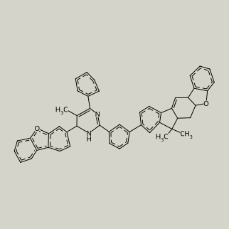 CC1=C(c2ccccc2)N=C(c2cccc(-c3ccc4c(c3)C(C)(C)C3CC5Oc6ccccc6C5C=C43)c2)NC1c1ccc2c(c1)oc1ccccc12